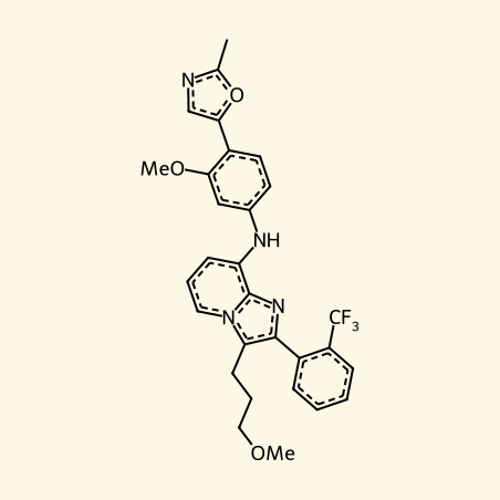 COCCCc1c(-c2ccccc2C(F)(F)F)nc2c(Nc3ccc(-c4cnc(C)o4)c(OC)c3)cccn12